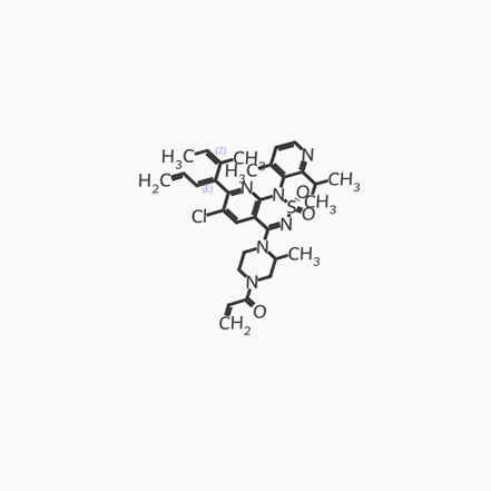 C=C/C=C(\C(C)=C/C)c1nc2c(cc1Cl)C(N1CCN(C(=O)C=C)CC1C)=NS(=O)(=O)N2c1c(C)ccnc1C(C)C